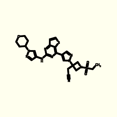 CCS(=O)(=O)N1CC(CC#N)(n2cc(-c3nc(Nc4cnn(C5CCOCC5)c4)nc4ccsc34)cn2)C1